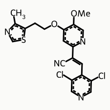 COc1cnc(C(C#N)=Cc2c(Cl)cncc2Cl)cc1OCCc1scnc1C